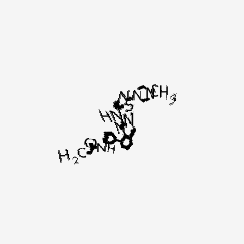 C=CC(=O)Nc1cccc(-c2cccc3cnc(Nc4cnc(N5CCN(C)CC5)s4)nc23)c1